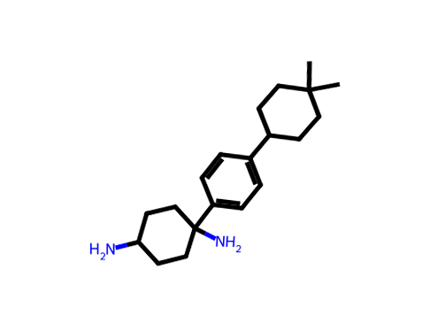 CC1(C)CCC(c2ccc(C3(N)CCC(N)CC3)cc2)CC1